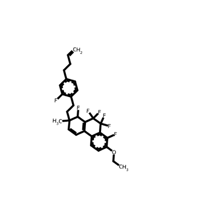 C=CCCc1ccc(CCC2(C)C=CC3=C(C2F)C(F)(F)C(F)(F)c2c3ccc(OCC)c2F)c(F)c1